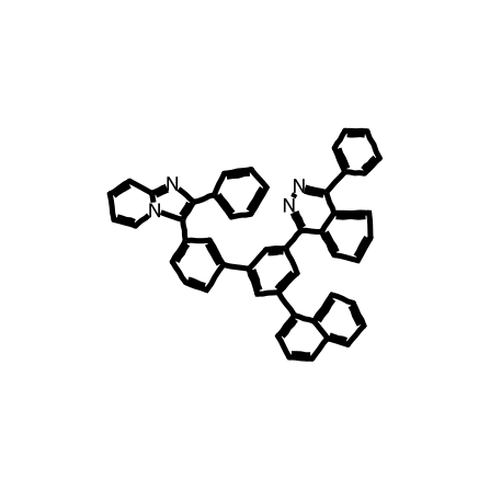 c1ccc(-c2nc3ccccn3c2-c2cccc(-c3cc(-c4cccc5ccccc45)cc(-c4nnc(-c5ccccc5)c5ccccc45)c3)c2)cc1